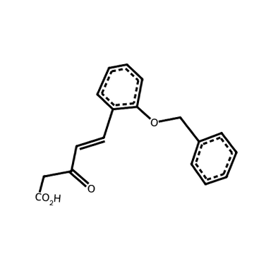 O=C(O)CC(=O)C=Cc1ccccc1OCc1ccccc1